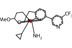 COC1CCC2(CC1)Cc1ccc(-c3cncc(C(F)(F)F)c3)cc1C21N=C(N)N(C2CC2)C1=O